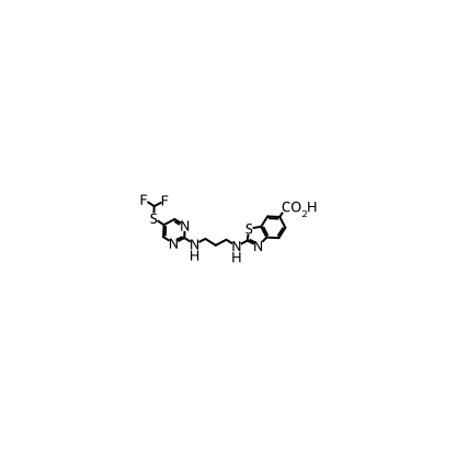 O=C(O)c1ccc2nc(NCCCNc3ncc(SC(F)F)cn3)sc2c1